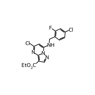 CCOC(=O)c1cnn2c(NCc3ccc(Cl)cc3F)cc(Cl)nc12